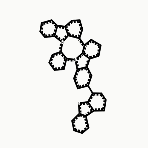 c1ccc2c(c1)sc1c(-c3ccc4c(c3)c3cccc5c6cccc7c8ccccc8n(c8ccccc8n4c35)c76)cccc12